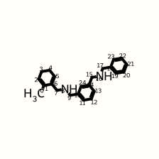 CC1=CCCC=C1CNCc1cccc(CNCC2=C=C=CC=C2)c1